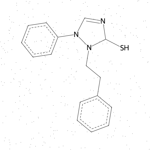 SC1N=CN(c2ccccc2)N1CCc1ccccc1